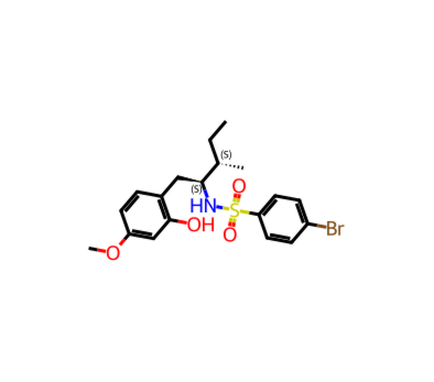 CC[C@H](C)[C@H](Cc1ccc(OC)cc1O)NS(=O)(=O)c1ccc(Br)cc1